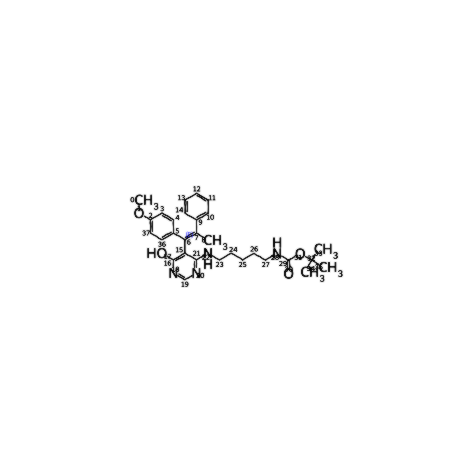 COc1ccc(/C(=C(/C)c2ccccc2)c2c(O)ncnc2NCCCCCNC(=O)OC(C)(C)C)cc1